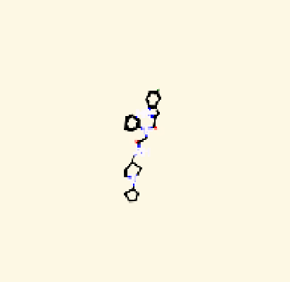 O=C(CN(C(=O)c1cc2cc(Cl)ccc2[nH]1)c1ccccc1)NCC1CCN(C2CCCC2)CC1